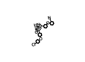 CS(=O)(=O)C(CN1C(=O)NCC1c1cccc(Oc2ccccc2C#N)c1)c1ccc(Oc2ccc(Cl)cc2)cc1